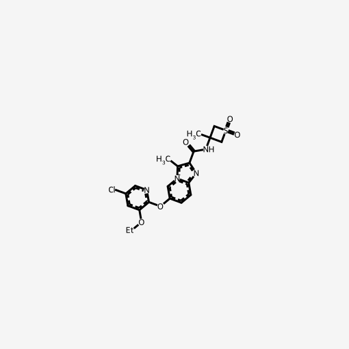 CCOc1cc(Cl)cnc1Oc1ccc2nc(C(=O)NC3(C)CS(=O)(=O)C3)c(C)n2c1